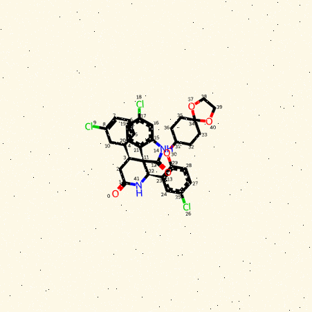 O=C1C[C@@H](C2C=CC=C(Cl)C2)[C@]2(C(=O)Nc3cc(Cl)ccc32)[C@@H](c2cc(Cl)ccc2OC2CCC3(CC2)OCCO3)N1